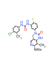 CNc1ncc2c(c1C)NC(=O)N(c1ccc(F)c(NC(=O)Nc3ccc(Cl)c(C(F)(F)F)c3)c1)C2